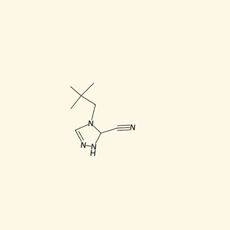 CC(C)(C)CN1C=NNC1C#N